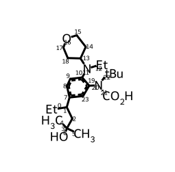 CCC(CC(C)(C)O)c1ccc(N(CC)C2CCOCC2)c(N(C(=O)O)C(C)(C)C)c1